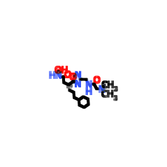 CN(C)CC(=O)NCc1noc([C@H](CCCC2CCCCC2)CC(=O)NO)n1